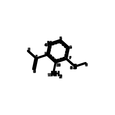 C=C(C)c1nccc(SC)c1N